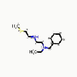 CCN(CCNCCSC)CC1CCCCC1